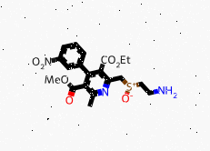 CCOC(=O)c1c(C[S+]([O-])CCN)nc(C)c(C(=O)OC)c1-c1cccc([N+](=O)[O-])c1